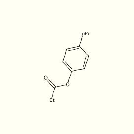 CCCc1ccc(OC(=O)CC)cc1